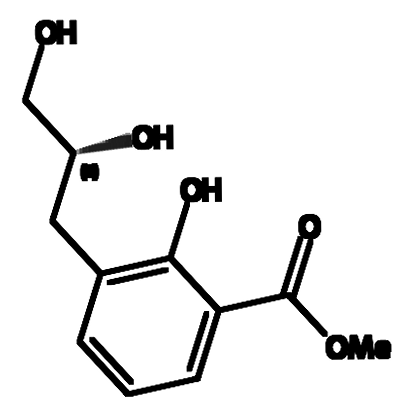 COC(=O)c1cccc(C[C@@H](O)CO)c1O